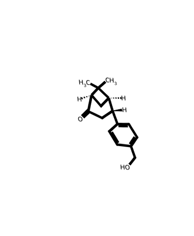 CC1(C)[C@@H]2C[C@H]1C(=O)C[C@H]2c1ccc(CO)cc1